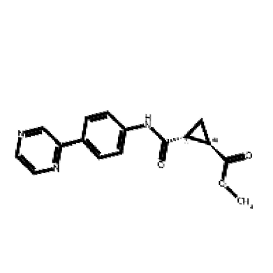 COC(=O)[C@@H]1C[C@H]1C(=O)Nc1ccc(-c2cnccn2)cc1